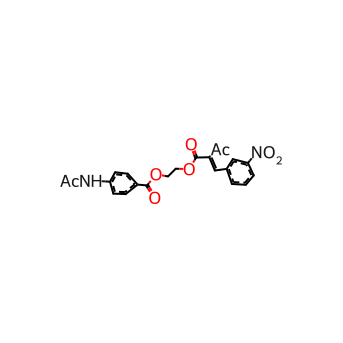 CC(=O)Nc1ccc(C(=O)OCCOC(=O)C(=Cc2cccc([N+](=O)[O-])c2)C(C)=O)cc1